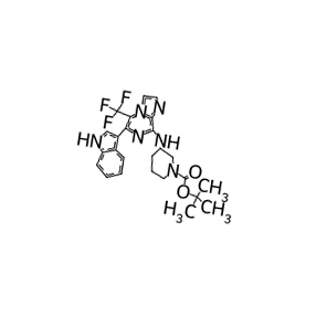 CC(C)(C)OC(=O)N1CCCC(Nc2nc(-c3c[nH]c4ccccc34)c(C(F)(F)F)n3ccnc23)C1